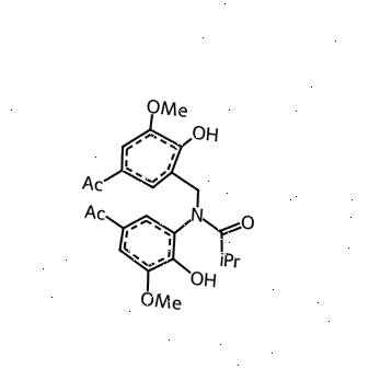 COc1cc(C(C)=O)cc(CN(C(=O)C(C)C)c2cc(C(C)=O)cc(OC)c2O)c1O